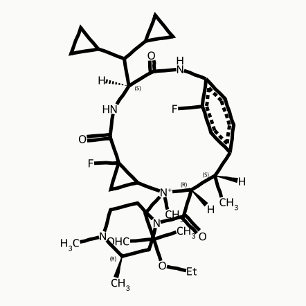 CCOC(C)(C=O)C[N+]1(C)C2CC2(F)C(=O)N[C@@H](C(C2CC2)C2CC2)C(=O)Nc2ccc(cc2F)[C@H](C)[C@@H]1C(=O)N1CCN(C)[C@H](C)C1